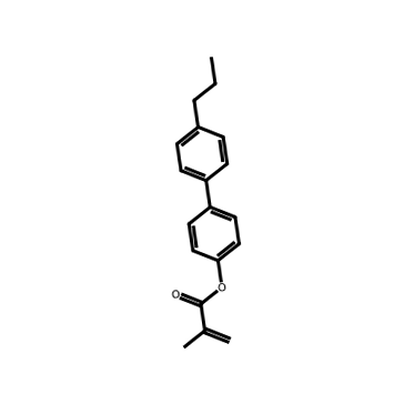 C=C(C)C(=O)Oc1ccc(-c2ccc(CCC)cc2)cc1